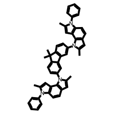 Cc1cc2c(ccc3cc(C)n(-c4ccc5c(c4)-c4cc(-n6c(C)cc7ccc8c(cc(C)n8-c8ccccc8)c76)ccc4C5(C)C)c32)n1-c1ccccc1